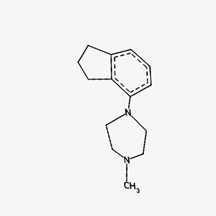 CN1CCN(c2cccc3c2CCC3)CC1